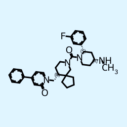 CN[C@@H]1CCN(C(=O)N2CC[C@@H](Cn3ccc(-c4ccccc4)cc3=O)C3(CCCC3)C2)[C@H](c2cccc(F)c2)C1